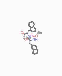 COC(=O)[C@H](Cc1cccc2ccccc12)NC(=O)[C@@H](Cc1ccc2ccccc2c1)NC(=O)OC(C)(C)C